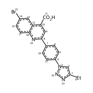 CCc1cn(-c2ccc(-c3cc(C(=O)O)c4cc(Br)ccc4n3)cc2)nn1